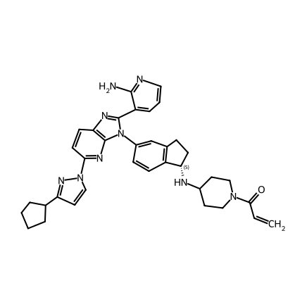 C=CC(=O)N1CCC(N[C@H]2CCc3cc(-n4c(-c5cccnc5N)nc5ccc(-n6ccc(C7CCCC7)n6)nc54)ccc32)CC1